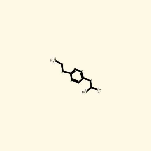 CCC(O)Cc1ccc(CCN)cc1